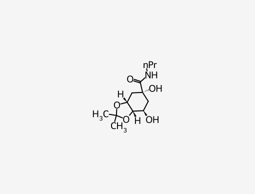 CCCNC(=O)[C@@]1(O)C[C@@H](O)[C@@H]2OC(C)(C)O[C@@H]2C1